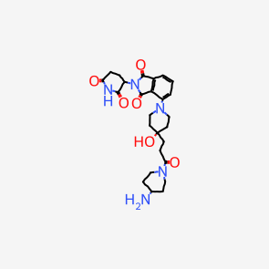 NC1CCN(C(=O)CCC2(O)CCN(c3cccc4c3C(=O)N(C3CCC(=O)NC3=O)C4=O)CC2)CC1